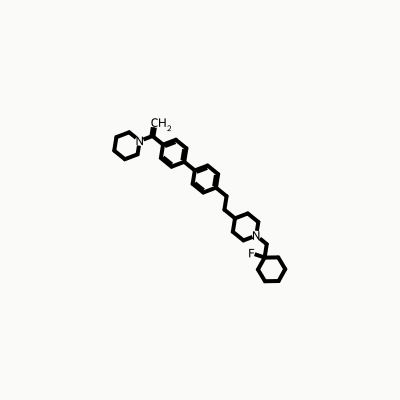 C=C(c1ccc(-c2ccc(CCC3CCN(CC4(F)CCCCC4)CC3)cc2)cc1)N1CCCCC1